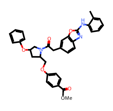 COC(=O)c1ccc(OCC2CC(Oc3ccccc3)CN2C(=O)Cc2ccc3nc(Nc4ccccc4C)oc3c2)cc1